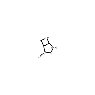 IN1CNC2OCC21